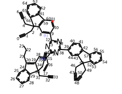 C#CCC1(CC#C)C(/C=C(\C=C)c2nc(/C(C=C)=C/C3=C(CCC)c4ccccc4C3(CC#C)CC#C)nc(-c3ccc4c(c3)C(CC#C)(CC#C)c3ccccc3-4)n2)=C(C)c2ccccc21